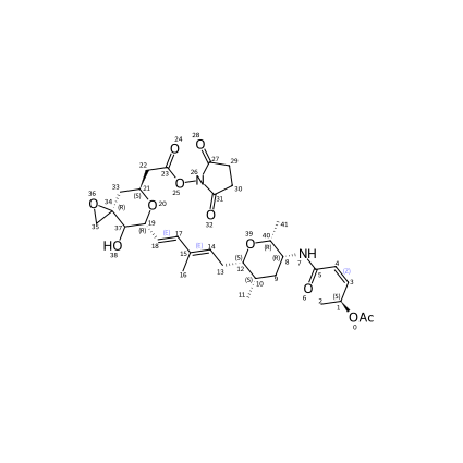 CC(=O)O[C@@H](C)/C=C\C(=O)N[C@@H]1C[C@H](C)[C@H](C/C=C(C)/C=C/[C@H]2O[C@H](CC(=O)ON3C(=O)CCC3=O)C[C@@]3(CO3)C2O)O[C@@H]1C